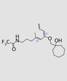 C=C/C=C(\C=C(/C)CCCNC(=O)C(F)(F)F)OCC1(O)CCCCCC1